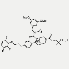 COc1cc(CN(C(=O)C2=C(c3ccc(CCCOc4c(F)ccc(F)c4F)cc3)CC3CN(C(=O)CCC(C)(C)C(=O)O)CC2N3)C2CC2)cc(OC)c1